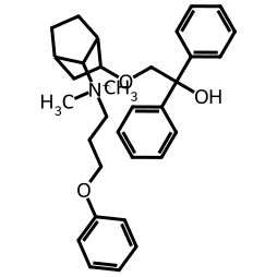 C[N+](C)(CCCOc1ccccc1)C1C2CCC1C(OCC(O)(c1ccccc1)c1ccccc1)C2